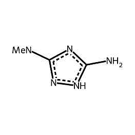 [CH2]Nc1n[nH]c(N)n1